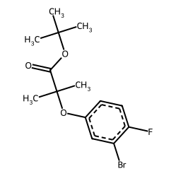 CC(C)(C)OC(=O)C(C)(C)Oc1ccc(F)c(Br)c1